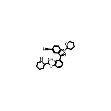 CC(Oc1cccc(-c2nn(C3CCCCO3)c3ccc(C#N)cc23)c1)C1CCCCN1